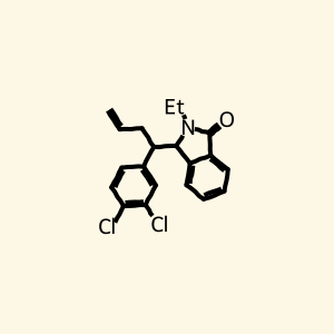 C=CCC(c1ccc(Cl)c(Cl)c1)C1c2ccccc2C(=O)N1CC